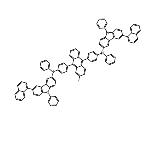 Cc1ccc2c(-c3ccc(N(c4ccccc4)c4ccc5c(c4)c4cc(-c6cccc7ccccc67)ccc4n5-c4ccccc4)cc3)c3ccccc3c(-c3ccc(N(c4ccccc4)c4ccc5c(c4)c4cc(-c6cccc7ccccc67)ccc4n5-c4ccccc4)cc3)c2c1